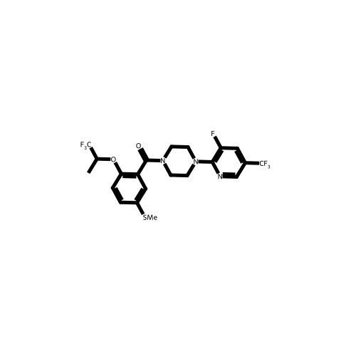 CSc1ccc(OC(C)C(F)(F)F)c(C(=O)N2CCN(c3ncc(C(F)(F)F)cc3F)CC2)c1